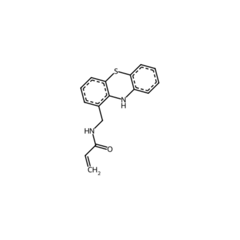 C=CC(=O)NCc1cccc2c1Nc1ccccc1S2